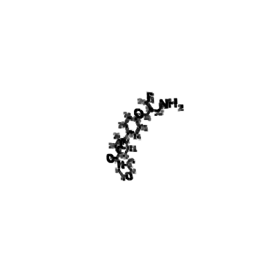 CC1COCCN1C(=O)C12CCC(c3ccc(OCC(=CF)CN)cc3)(CC1)CC2